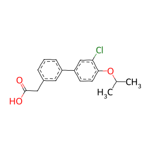 CC(C)Oc1ccc(-c2cccc(CC(=O)O)c2)cc1Cl